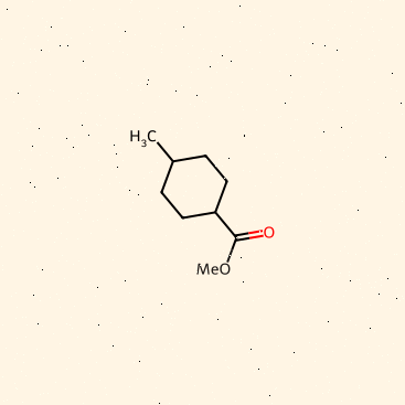 COC(=O)C1CCC(C)CC1